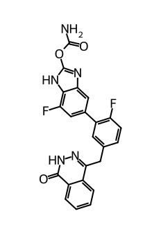 NC(=O)Oc1nc2cc(-c3cc(Cc4n[nH]c(=O)c5ccccc45)ccc3F)cc(F)c2[nH]1